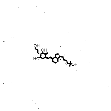 C=C1/C(=C\C=C2CCC[C@@]3(C)C2CC[C@@H]3[C@H](C)CCCC(C)(C)O)C[C@@H](O)[C@@H](CCCO)[C@H]1O